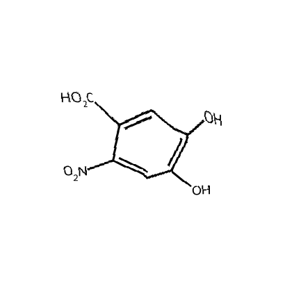 O=C(O)c1cc(O)c(O)cc1[N+](=O)[O-]